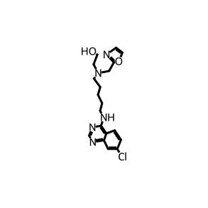 OCCN(CCCCCNc1ncnc2cc(Cl)ccc12)Cc1ncco1